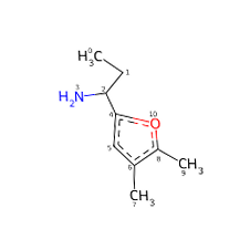 CCC(N)c1cc(C)c(C)o1